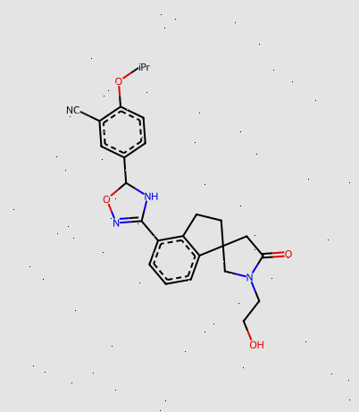 CC(C)Oc1ccc(C2NC(c3cccc4c3CCC43CC(=O)N(CCO)C3)=NO2)cc1C#N